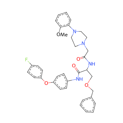 COc1ccccc1N1CCN(CC(=O)NC(COCc2ccccc2)C(=O)Nc2ccc(Oc3ccc(F)cc3)cc2)CC1